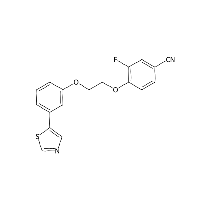 N#Cc1ccc(OCCOc2cccc(-c3cncs3)c2)c(F)c1